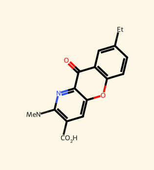 CCc1ccc2oc3cc(C(=O)O)c(NC)nc3c(=O)c2c1